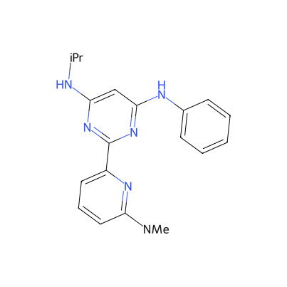 CNc1cccc(-c2nc(Nc3ccccc3)cc(NC(C)C)n2)n1